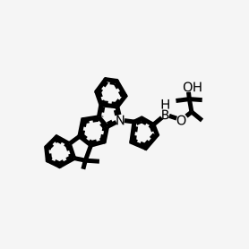 CC(OBc1cccc(-n2c3ccccc3c3cc4c(cc32)C(C)(C)c2ccccc2-4)c1)C(C)(C)O